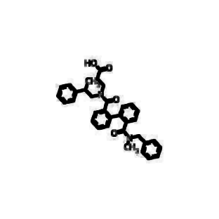 CC(CN(CCC(=O)O)C(=O)c1ccccc1-c1ccccc1C(=O)N(C)Cc1ccccc1)c1ccccc1